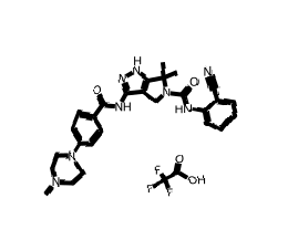 CN1CCN(c2ccc(C(=O)Nc3n[nH]c4c3CN(C(=O)Nc3ccccc3C#N)C4(C)C)cc2)CC1.O=C(O)C(F)(F)F